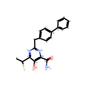 CC(F)c1nc(Cc2ccc(-c3ccccc3)cc2)nc(C(N)=O)c1O